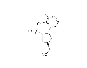 O=C(O)[C@H]1CN(CC(F)(F)F)C[C@H]1c1cccc(F)c1Cl